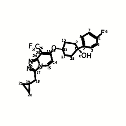 O[C@]1(c2ccc(F)cc2)CC[C@H](Oc2ccn3c(CC4CC4)nnc3c2C(F)(F)F)CC1